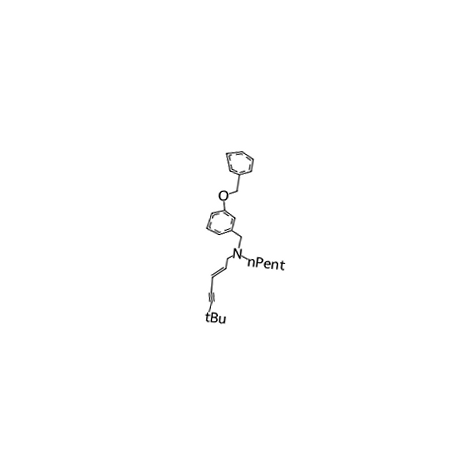 CCCCCN(C/C=C/C#CC(C)(C)C)Cc1cccc(OCc2ccccc2)c1